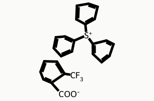 O=C([O-])c1ccccc1C(F)(F)F.c1ccc([S+](c2ccccc2)c2ccccc2)cc1